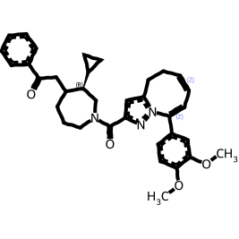 COc1ccc(/C2=C/C=C\CCc3cc(C(=O)N4CCCC(CC(=O)c5ccccc5)[C@@H](C5CC5)C4)nn32)cc1OC